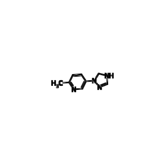 Cc1ccc(N2CNC=N2)cn1